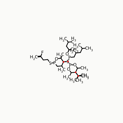 C=C(F)CCSP(CC(C)CSP(CC(C)CC(C)C)OC(C)CC(C)C)OC(C)CSP(OC(C)CC(C)C)OC(C)CC(C)C